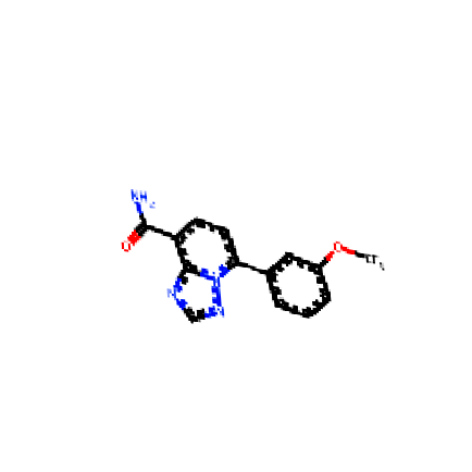 NC(=O)c1ccc(-c2cccc(OC(F)(F)F)c2)n2n[c]nc12